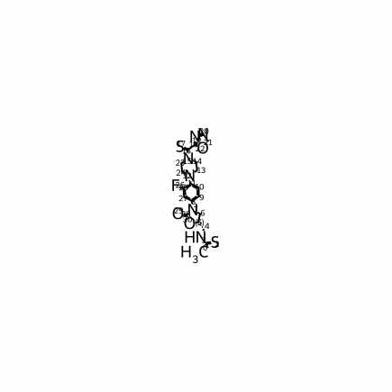 CC(=S)NC[C@H]1CN(c2ccc(N3CCN(C(=S)c4nnco4)CC3)c(F)c2)C(=O)O1